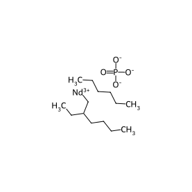 CCCCC(CC)[CH2][Nd+3].CCCCCC.O=P([O-])([O-])[O-]